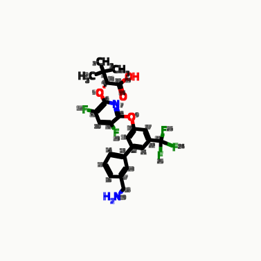 CC(C)(C)[C@@H](Oc1nc(Oc2cc(-c3cccc(CN)c3)cc(C(F)(F)F)c2)c(F)cc1F)C(=O)O